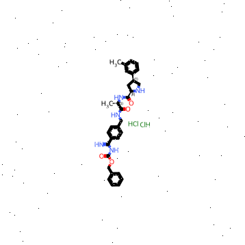 Cc1cccc([C@H]2CN[C@@H](C(=O)N[C@@H](C)C(=O)NCc3ccc(C(=N)NC(=O)OCc4ccccc4)cc3)C2)c1.Cl.Cl